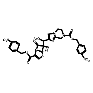 CC(=O)OC(c1cn2c(n1)CN(C(=O)OCc1ccc([N+](=O)[O-])cc1)CC2)C1(Br)C(=O)N2C(C(=O)OCc3ccc([N+](=O)[O-])cc3)=CS[C@@H]21